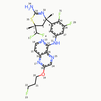 C[C@]1(C(F)F)C[C@@](C)(c2cc(Nc3nccc4nc(OCCCF)cnc34)cc(F)c2F)N=C(N)S1